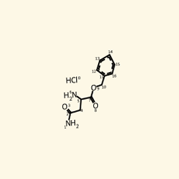 Cl.NC(=O)CC(N)C(=O)OCc1ccccc1